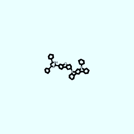 C1=C(c2ccccc2)NC(c2ccc3c(c2)oc2ccc(-n4c5ccccc5c5cc6c7ccccc7n(-c7ccccc7)c6cc54)cc23)N=C1c1ccccc1